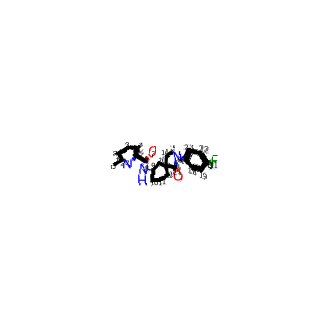 Cc1cccc(C(=O)N[C@H]2CCCC3(CCN(c4ccc(F)cc4)C3=O)C2)n1